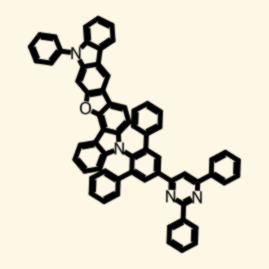 c1ccc(-c2cc(-c3cc(-c4ccccc4)c(-n4c5ccccc5c5c6oc7cc8c(cc7c6ccc54)c4ccccc4n8-c4ccccc4)c(-c4ccccc4)c3)nc(-c3ccccc3)n2)cc1